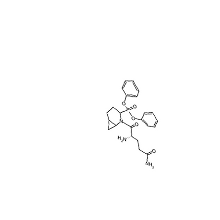 NC(=O)CC[C@H](N)C(=O)N1C2CC2CCC1P(=O)(Oc1ccccc1)Oc1ccccc1